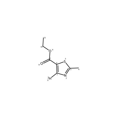 [2H]c1nc(C)sc1C(=O)OCC